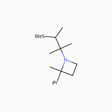 CSC(C)C(C)(C)N1CCC1(C)C(C)C